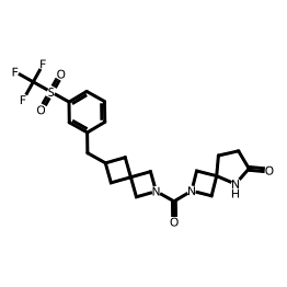 O=C1CCC2(CN(C(=O)N3CC4(CC(Cc5cccc(S(=O)(=O)C(F)(F)F)c5)C4)C3)C2)N1